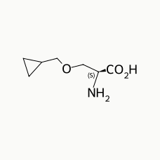 N[C@@H](COCC1CC1)C(=O)O